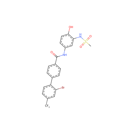 CS(=O)(=O)Nc1cc(NC(=O)c2ccc(-c3ccc(C(F)(F)F)cc3Br)cc2)ccc1O